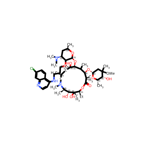 CC[C@@H]1OC(=O)[C@H](C)[C@H](O[C@@H]2CC(C)(OC)[C@H](O)[C@H](C)O2)C(C)[C@H](O[C@@H]2O[C@H](C)C[C@H](N(C)C)C2OCCCNc2ccnc3cc(Cl)ccc23)[C@](C)(O)C[C@H](C)CN(C)[C@H](C)[C@@H](O)[C@@]1(C)O